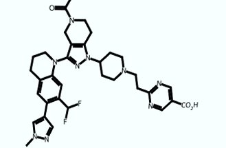 CNC(=O)N1CCc2c(c(N3CCCc4cc(-c5cnn(C)c5)c(C(F)F)cc43)nn2C2CCN(CCc3ncc(C(=O)O)cn3)CC2)C1